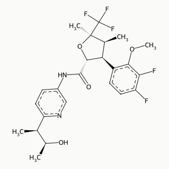 COc1c([C@H]2[C@H](C(=O)Nc3ccc([C@H](C)[C@H](C)O)nc3)O[C@@](C)(C(F)(F)F)[C@H]2C)ccc(F)c1F